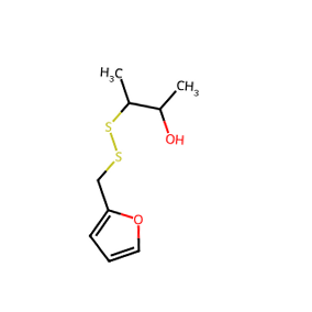 CC(O)C(C)SSCc1ccco1